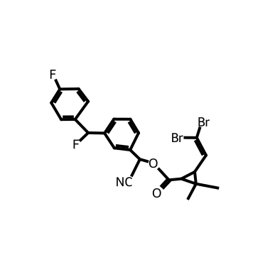 CC1(C)C(C=C(Br)Br)C1C(=O)OC(C#N)c1cccc(C(F)c2ccc(F)cc2)c1